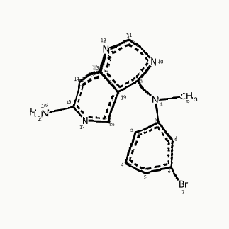 CN(c1cccc(Br)c1)c1ncnc2cc(N)ncc12